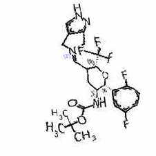 CC(C)(C)OC(=O)N[C@H]1CC(/C=[N+]2/Cc3c[nH]nc3C2)[C@H](C(F)(F)F)O[C@@H]1c1cc(F)ccc1F